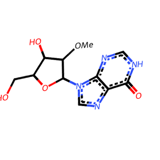 COC1C(O)C(CO)OC1n1cnc2c(=O)[nH]cnc21